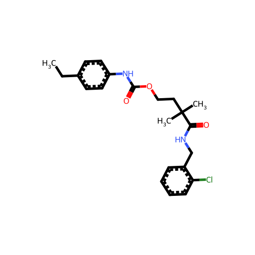 CCc1ccc(NC(=O)OCCC(C)(C)C(=O)NCc2ccccc2Cl)cc1